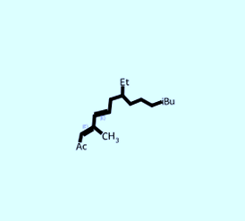 CCC(C)CCCC(CC)C/C=C/C(C)=C/C(C)=O